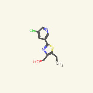 CCc1sc(-c2cncc(Cl)c2)nc1CO